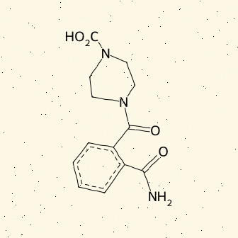 NC(=O)c1ccccc1C(=O)N1CCN(C(=O)O)CC1